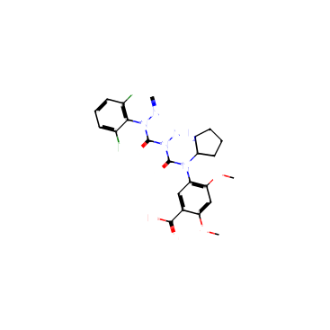 C=NN(C(=O)N(N)C(=O)N(c1cc(C(=O)O)c(OC)cc1OC)C1CCCC1)c1c(F)cccc1F